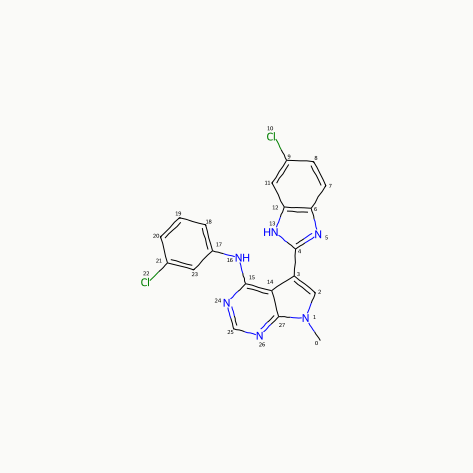 Cn1cc(-c2nc3ccc(Cl)cc3[nH]2)c2c(Nc3cccc(Cl)c3)ncnc21